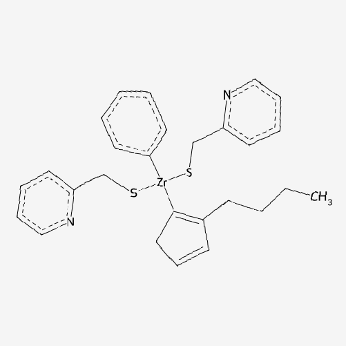 CCCCC1=[C]([Zr]([S]Cc2ccccn2)([S]Cc2ccccn2)[c]2ccccc2)CC=C1